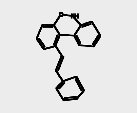 C(=Cc1cccc2c1-c1ccccc1NO2)c1ccccc1